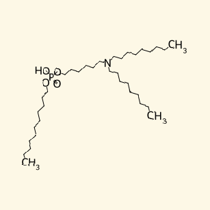 CCCCCCCCCCCOP(=O)(O)OCCCCCCN(CCCCCCCCC)CCCCCCCCC